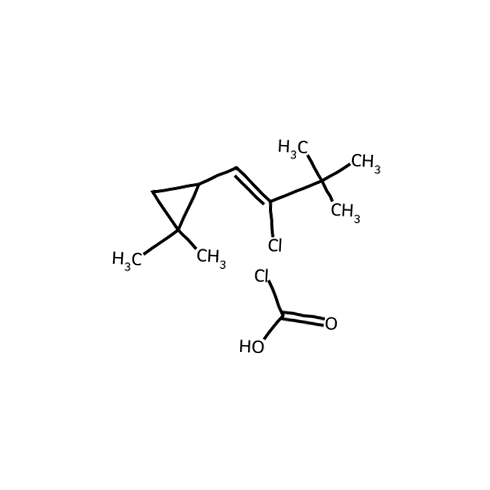 CC(C)(C)C(Cl)=CC1CC1(C)C.O=C(O)Cl